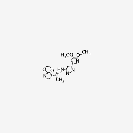 CCOc1ncc(-c2cc(NCS[C@@H](C)c3ccnc4c3OCCO4)ncn2)cc1OC